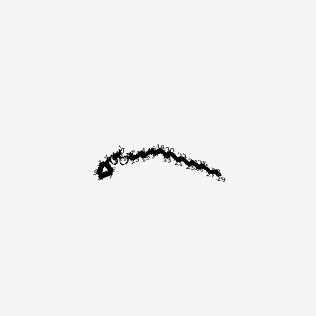 [CH2][C@H](COCc1ccccc1)OCCCCCCCCCCCCCCCCCC